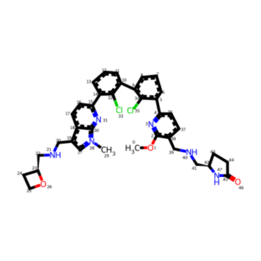 COc1nc(-c2cccc(-c3cccc(-c4ccc5c(CNC[C@@H]6CCO6)cn(C)c5n4)c3Cl)c2Cl)ccc1CNC[C@H]1CCC(=O)N1